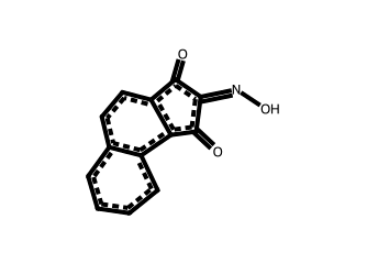 O=c1c(=NO)c(=O)c2c1ccc1ccccc12